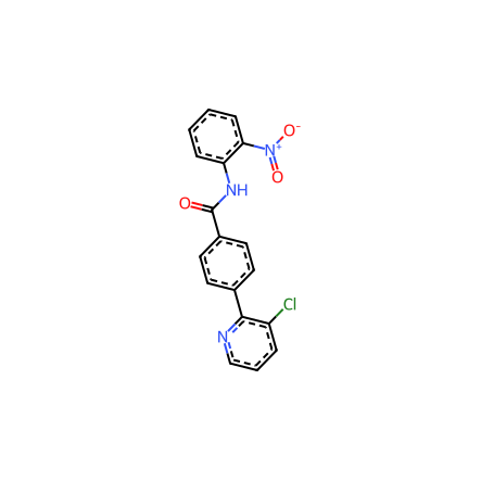 O=C(Nc1ccccc1[N+](=O)[O-])c1ccc(-c2ncccc2Cl)cc1